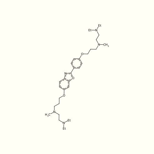 CCN(CC)CCN(C)CCCOc1ccc(-c2nc3ccc(OCCCN(C)CCN(CC)CC)cc3o2)cc1